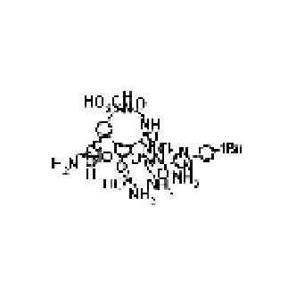 C[C@@H]1NC(=O)[C@@H](N(C)C(=O)[C@H](CCN)NC(=O)c2c(N)nc(-c3ccc(C(C)(C)C)cc3)nc2Cl)c2cc(OC[C@H](O)CN)c(O)c(c2)-c2cc(ccc2OC[C@H](O)CN)C[C@@H](C(=O)O)NC1=O